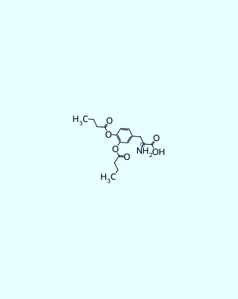 CCCC(=O)Oc1ccc(C[C@H](N)C(=O)O)cc1OC(=O)CCC